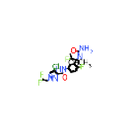 C[C@]1(F)COC(N)=N[C@]1(C)c1cc(NC(=O)c2nn(CC(F)F)cc2Cl)ccc1F